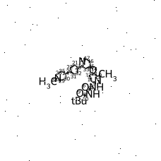 Cc1nc(NC(=O)NC(=O)C(C)(C)C)ccc1Oc1ccnc(-c2ccc(C3CCN(C)CC3)cc2)c1